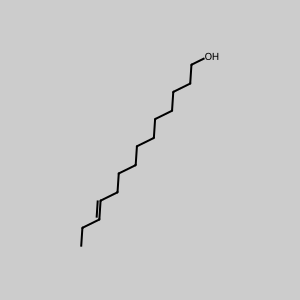 CCC=CCCCCCCCCCCO